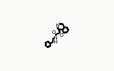 O=C(NCCc1ccccc1)c1oc2cccc3c2c1C=NC=C3